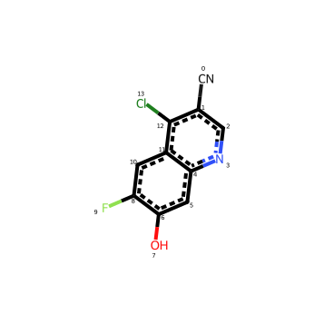 N#Cc1cnc2cc(O)c(F)cc2c1Cl